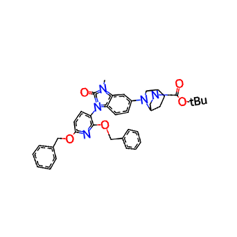 Cn1c(=O)n(-c2ccc(OCc3ccccc3)nc2OCc2ccccc2)c2ccc(N3CC4CCC3CN4C(=O)OC(C)(C)C)cc21